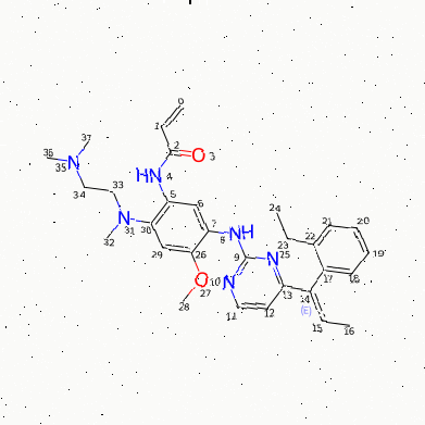 C=CC(=O)Nc1cc(Nc2nccc(/C(=C/C)c3ccccc3CC)n2)c(OC)cc1N(C)CCN(C)C